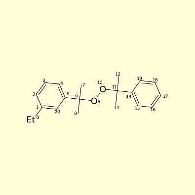 CCc1cccc(C(C)(C)OOC(C)(C)c2ccccc2)c1